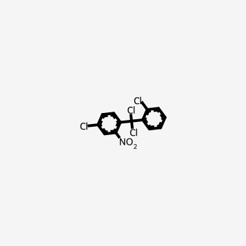 O=[N+]([O-])c1cc(Cl)ccc1C(Cl)(Cl)c1ccccc1Cl